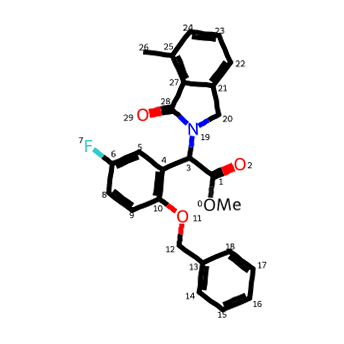 COC(=O)C(c1cc(F)ccc1OCc1ccccc1)N1Cc2cccc(C)c2C1=O